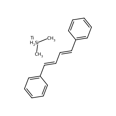 C(C=Cc1ccccc1)=Cc1ccccc1.C[SiH2]C.[Ti]